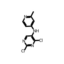 Cc1cc(Nc2cnc(Cl)nc2Cl)ccn1